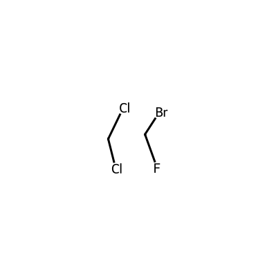 ClCCl.FCBr